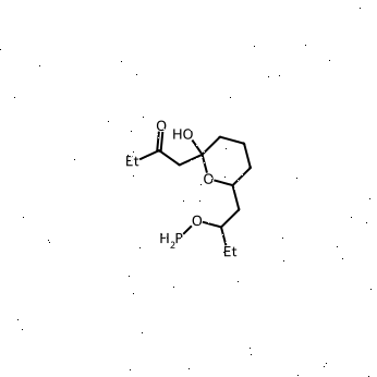 CCC(=O)CC1(O)CCCC(CC(CC)OP)O1